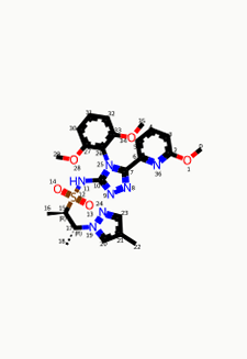 COc1cccc(-c2nnc(NS(=O)(=O)[C@H](C)[C@@H](C)n3cc(C)cn3)n2-c2c(OC)cccc2OC)n1